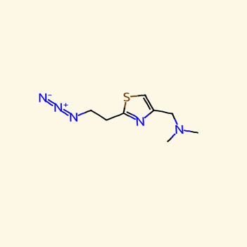 CN(C)Cc1csc(CCN=[N+]=[N-])n1